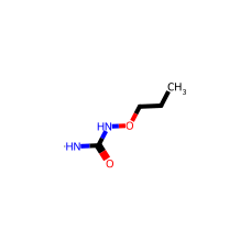 CCCONC([NH])=O